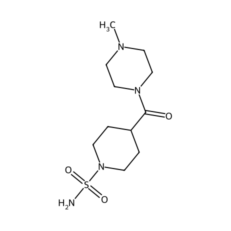 CN1CCN(C(=O)C2CCN(S(N)(=O)=O)CC2)CC1